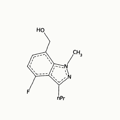 CCCc1nn(C)c2c(CO)ccc(F)c12